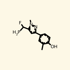 Cc1cc(-c2cc(C(F)P)n(C)n2)ccc1O